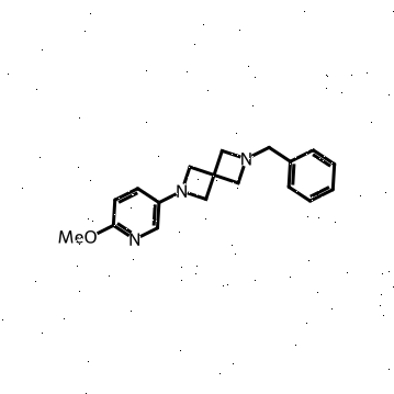 COc1ccc(N2CC3(CN(Cc4ccccc4)C3)C2)cn1